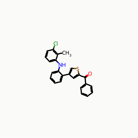 Cc1c(Cl)cccc1Nc1ccccc1-c1[c]sc(C(=O)c2ccccc2)c1